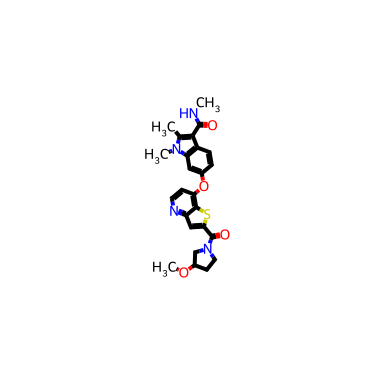 CNC(=O)c1c(C)n(C)c2cc(Oc3ccnc4cc(C(=O)N5CCC(OC)C5)sc34)ccc12